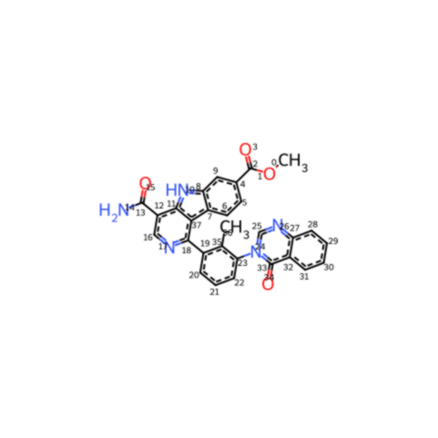 COC(=O)c1ccc2c(c1)[nH]c1c(C(N)=O)cnc(-c3cccc(-n4cnc5ccccc5c4=O)c3C)c12